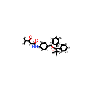 CC(C)C(=O)CC(=O)Nc1ccc(CO[Si](c2ccccc2)(c2ccccc2)C(C)(C)C)cc1